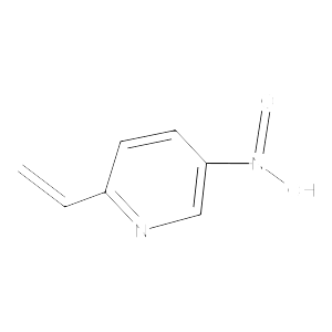 C=Cc1ccc([N+](=O)O)cn1